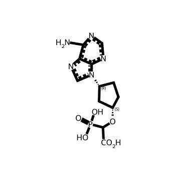 Nc1ncnc2c1ncn2[C@@H]1CC[C@H](OC(C(=O)O)P(=O)(O)O)C1